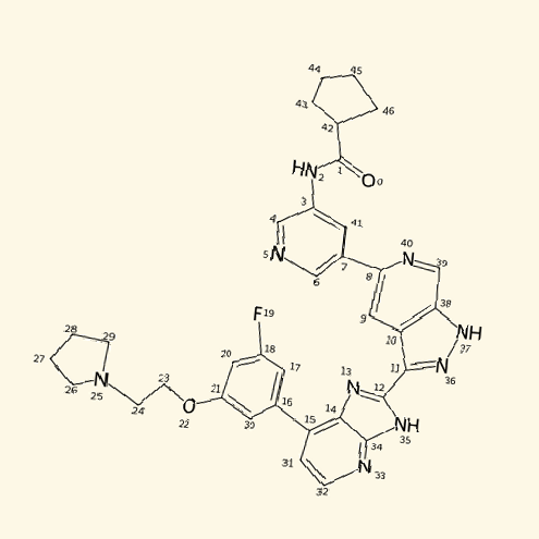 O=C(Nc1cncc(-c2cc3c(-c4nc5c(-c6cc(F)cc(OCCN7CCCC7)c6)ccnc5[nH]4)n[nH]c3cn2)c1)C1CCCC1